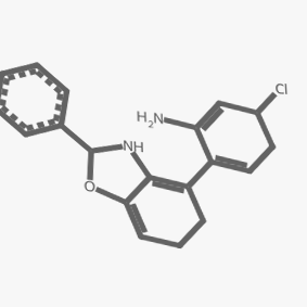 NC1=CC(Cl)CC=C1C1=C2NC(c3ccccc3)OC2=CCC1